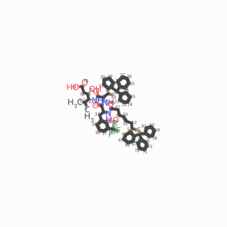 CC(C)[C@@H](NC(=O)C(CSC(c1ccccc1)(c1ccccc1)c1ccccc1)NC(=O)C(Cc1cccc(C(F)(F)F)c1)NC(=O)CC(O)C=CCCSC(c1ccccc1)(c1ccccc1)c1ccccc1)[C@@H](O)CC(=O)O